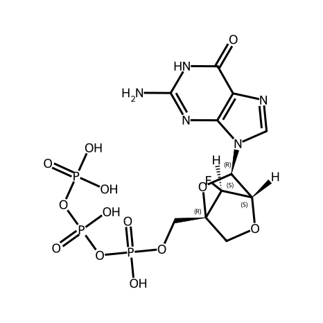 Nc1nc2c(ncn2[C@@H]2O[C@@]3(COP(=O)(O)OP(=O)(O)OP(=O)(O)O)CO[C@@H]2[C@@H]3F)c(=O)[nH]1